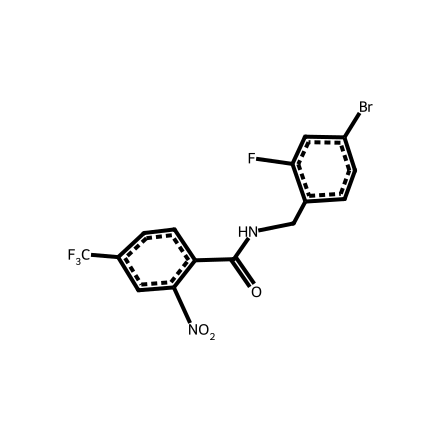 O=C(NCc1ccc(Br)cc1F)c1ccc(C(F)(F)F)cc1[N+](=O)[O-]